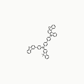 CC1(C)c2ccccc2-c2ccc(N(c3ccc(-c4ccc(-n5c6ccccc6c6c7c(ccc65)oc5ccccc57)cc4)cc3)c3ccc(-c4ccc5sc6ccccc6c5c4)cc3)cc21